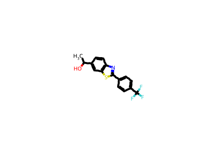 CC(O)c1ccc2nc(-c3ccc(C(F)(F)F)cc3)sc2c1